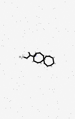 CC(CN)/C1=C/CCC2(CCCCCCC2)CCC1